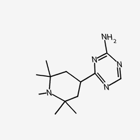 CN1C(C)(C)CC(c2ncnc(N)n2)CC1(C)C